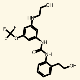 O=C(Nc1cc(NCCO)cc(OC(F)(F)F)c1)Nc1ccccc1CCO